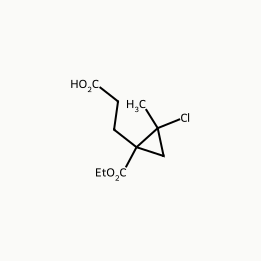 CCOC(=O)C1(CCC(=O)O)CC1(C)Cl